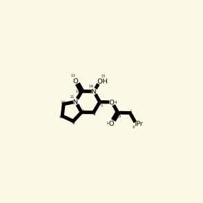 CC(C)CC(=O)OC1CC2CCCN2C(=O)N1O